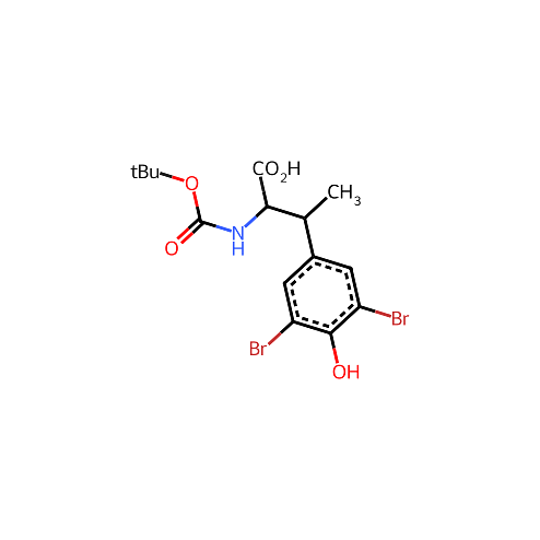 CC(c1cc(Br)c(O)c(Br)c1)C(NC(=O)OC(C)(C)C)C(=O)O